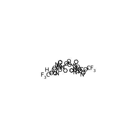 Cc1c(OCC(F)(F)F)ccnc1C[S+]([O-])c1nc2ccccc2n1C(=O)N(CCOC(=O)OCCN(C(=O)n1c([S+]([O-])Cc2nccc(OCC(F)(F)F)c2C)nc2ccccc21)C1CCCCC1)C1CCCCC1